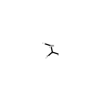 CC(F)NI